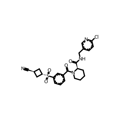 N#C[C@H]1C[C@H](S(=O)(=O)c2cccc(C(=O)N3CCCC[C@@H]3C(=O)NCc3ccc(Cl)nc3)c2)C1